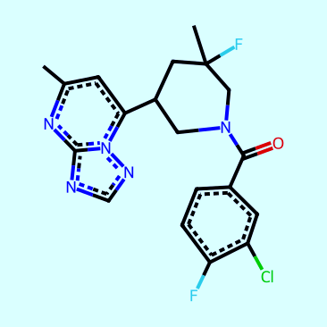 Cc1cc(C2CN(C(=O)c3ccc(F)c(Cl)c3)CC(C)(F)C2)n2ncnc2n1